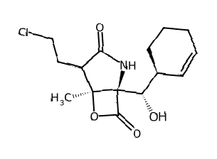 C[C@@]12OC(=O)[C@]1([C@@H](O)[C@@H]1C=CCCC1)NC(=O)C2CCCl